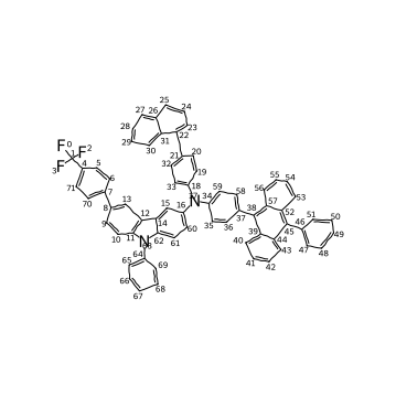 FC(F)(F)c1ccc(-c2ccc3c(c2)c2cc(N(c4ccc(-c5cccc6ccccc56)cc4)c4ccc(-c5c6ccccc6c(-c6ccccc6)c6ccccc56)cc4)ccc2n3-c2ccccc2)cc1